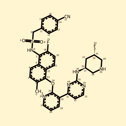 Cc1ccc2c(NS(=O)(=O)Cc3ccc(C#N)cc3)c(F)ccc2c1Oc1ncccc1-c1ccnc(N[C@@H]2CNC[C@@H](F)C2)n1